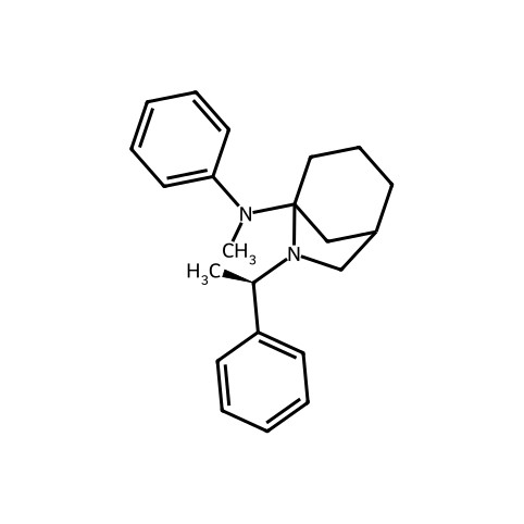 C[C@H](c1ccccc1)N1CC2CCCC1(N(C)c1ccccc1)C2